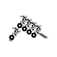 O=P(O)(O)CP(=O)([O-])Oc1ccccc1.O=P(O)(O)CP(=O)([O-])Oc1ccccc1.O=P(O)(O)CP(=O)([O-])Oc1ccccc1.O=P(O)(O)CP(=O)([O-])Oc1ccccc1.O=P([O-])([O-])CP(=O)([O-])Oc1ccccc1.[Na+].[Na+].[Na+].[Na+].[Na+].[Na+].[Na+]